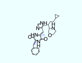 O=c1[nH]/c(=C\c2nc[nH]c2C(CCC2CC2)C2COCCN2)c(=O)[nH]/c1=C\c1ccccc1